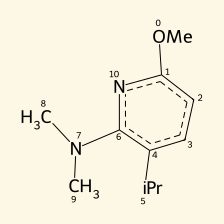 COc1ccc(C(C)C)c(N(C)C)n1